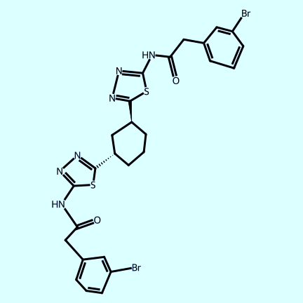 O=C(Cc1cccc(Br)c1)Nc1nnc([C@H]2CCC[C@H](c3nnc(NC(=O)Cc4cccc(Br)c4)s3)C2)s1